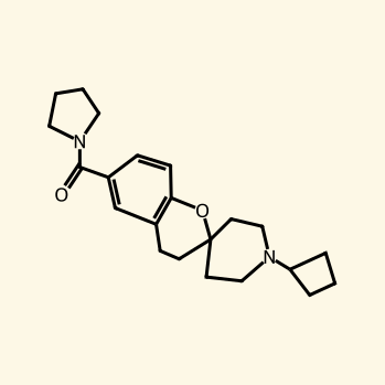 O=C(c1ccc2c(c1)CCC1(CCN(C3CCC3)CC1)O2)N1CCCC1